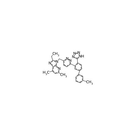 CCc1nc2c(C)cc(C)nc2n1Cc1ccc(-c2cc(-c3cccc(C)c3)ccc2-c2nnn[nH]2)nn1